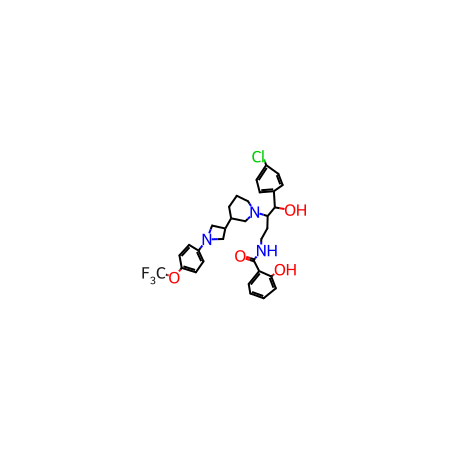 O=C(NCCC(C(O)c1ccc(Cl)cc1)N1CCCC(C2CN(c3ccc(OC(F)(F)F)cc3)C2)C1)c1ccccc1O